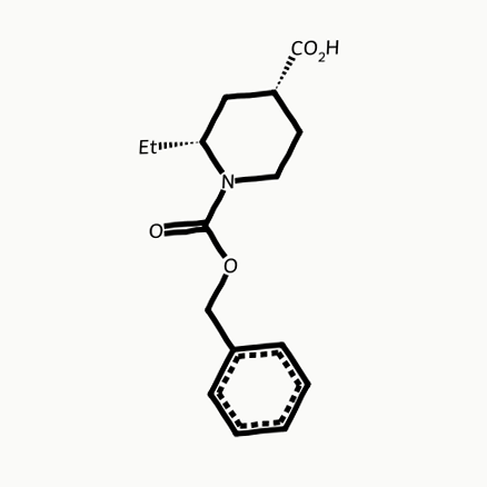 CC[C@@H]1C[C@H](C(=O)O)CCN1C(=O)OCc1ccccc1